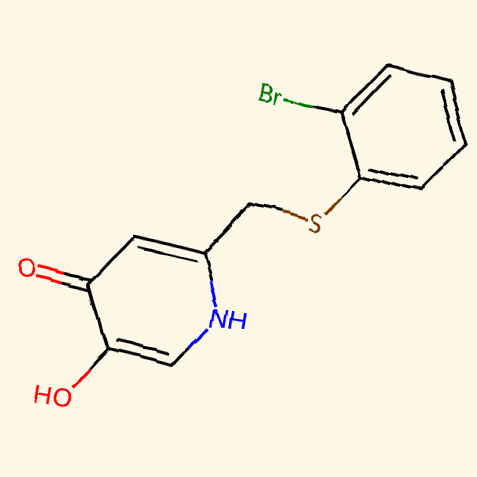 O=c1cc(CSc2ccccc2Br)[nH]cc1O